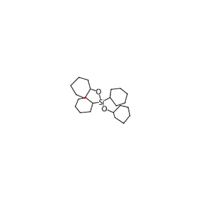 C1CCC(O[Si](OC2CCCCC2)(C2CCCCC2)C2CCCCC2)CC1